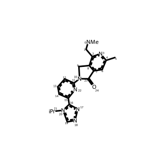 CNCc1nc(C)cc2c1CN(c1cccc(-c3nncn3C(C)C)n1)C2=O